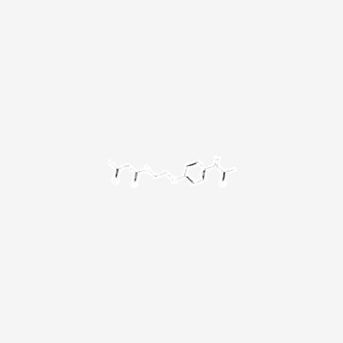 CC(=O)CC(=O)OCCOc1ccc(NC(C)=O)cc1